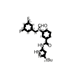 CC(C)(C)c1cc(NC(=O)c2cccc(N(C=O)Cc3cc(F)cc(F)c3)c2)[nH]n1